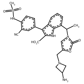 CC(c1cccc2c(-c3ccc(NS(C)(=O)=O)c(C#N)c3)c(C(=O)O)[nH]c12)n1cc(CN2CC(N)C2)oc1=O